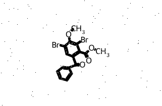 COC(=O)c1c(C(=O)c2ccccc2)cc(Br)c(OC)c1Br